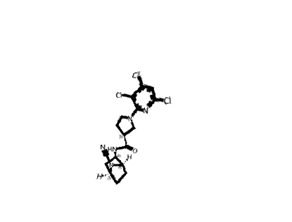 N#CN1[C@H]2CC[C@@H]1[C@H](NC(=O)[C@H]1CCN(c3nc(Cl)cc(Cl)c3Cl)C1)C2